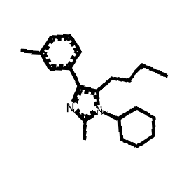 CCCCc1c(-c2cccc(C)c2)nc(C)n1C1CCCCC1